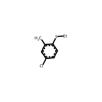 [CH2]CSc1ccc(Cl)cc1C